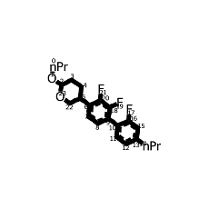 CCCOC1CCC(c2ccc(-c3ccc(CCC)cc3F)c(F)c2F)CO1